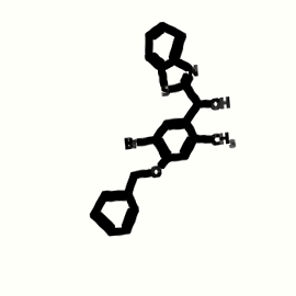 Cc1cc(OCc2ccccc2)c(Br)cc1C(O)c1nc2ccccc2s1